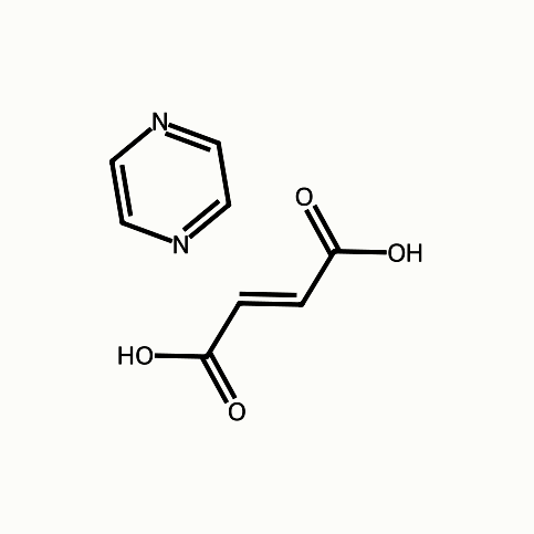 O=C(O)/C=C/C(=O)O.c1cnccn1